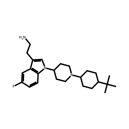 CC(C)(C)C1CCC(N2CCC(n3cc(CCN)c4cc(F)ccc43)CC2)CC1